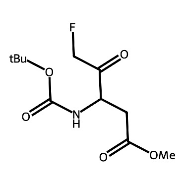 COC(=O)CC(NC(=O)OC(C)(C)C)C(=O)CF